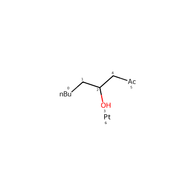 CCCCCC(O)CC(C)=O.[Pt]